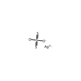 [Ag+2].[O-]S([O-])(=S)=S